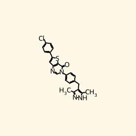 Cc1n[nH]c(C)c1Cc1ccc(-n2cnc3cc(-c4ccc(Cl)cc4)sc3c2=O)cc1